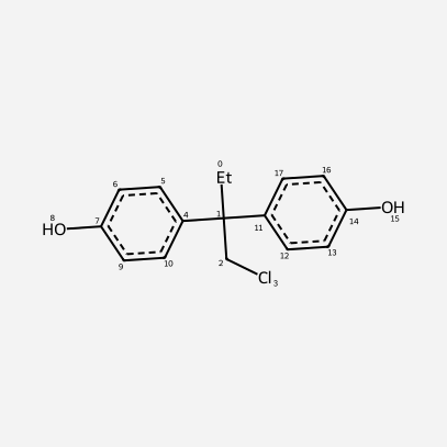 CCC(CCl)(c1ccc(O)cc1)c1ccc(O)cc1